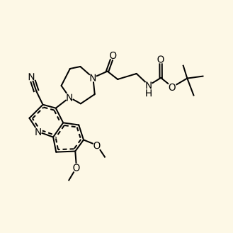 COc1cc2ncc(C#N)c(N3CCCN(C(=O)CCNC(=O)OC(C)(C)C)CC3)c2cc1OC